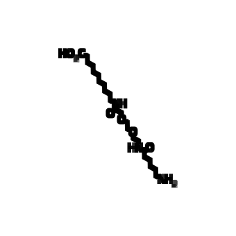 NCCCCCC(=O)NCCOCCOCC(=O)NCCCCCCCCCCC(=O)O